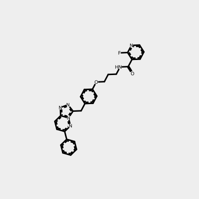 O=C(NCCCOc1ccc(Cc2nnc3ccc(-c4ccccc4)nn23)cc1)c1cccnc1F